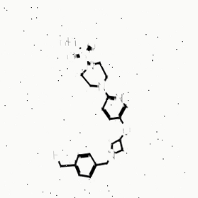 CCCS(=O)(=O)N1CCN(c2ccc(OC3CN(Cc4ccc(CF)cc4)C3)cn2)CC1